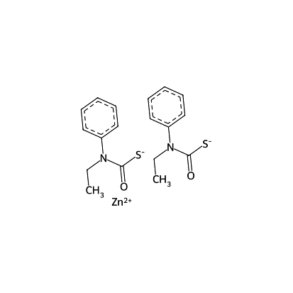 CCN(C(=O)[S-])c1ccccc1.CCN(C(=O)[S-])c1ccccc1.[Zn+2]